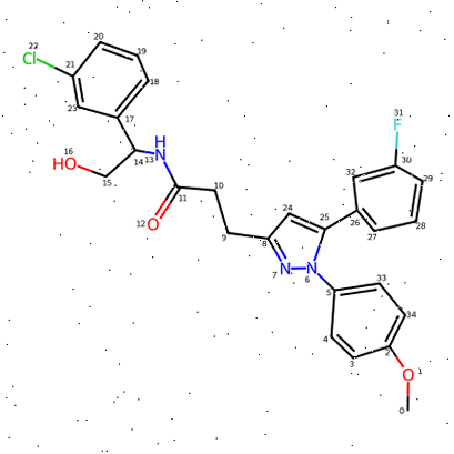 COc1ccc(-n2nc(CCC(=O)NC(CO)c3cccc(Cl)c3)cc2-c2cccc(F)c2)cc1